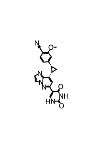 COc1cc([C@H]2C[C@@H]2c2cc(-c3c[nH]c(=O)[nH]c3=O)nn3ccnc23)ccc1C#N